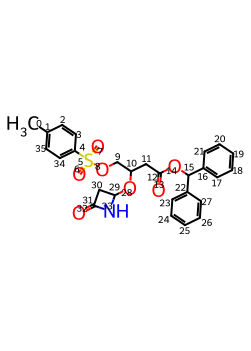 Cc1ccc(S(=O)(=O)OCC(CC(=O)OC(c2ccccc2)c2ccccc2)OC2CC(=O)N2)cc1